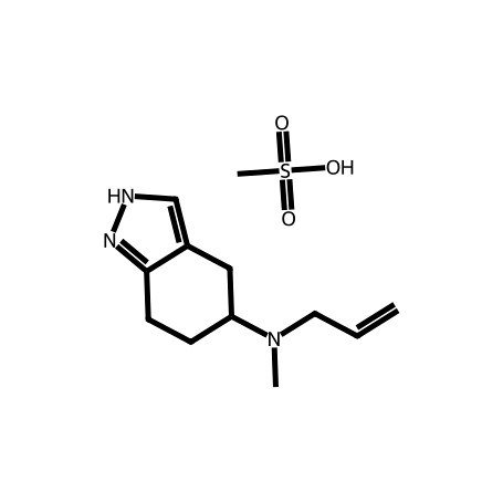 C=CCN(C)C1CCc2n[nH]cc2C1.CS(=O)(=O)O